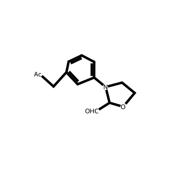 CC(=O)Cc1cccc(N2CCOC2C=O)c1